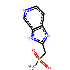 [CH2]S(=O)(=O)Cc1nc2ccncc2[nH]1